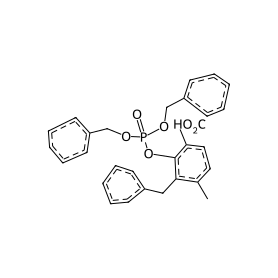 Cc1ccc(C(=O)O)c(OP(=O)(OCc2ccccc2)OCc2ccccc2)c1Cc1ccccc1